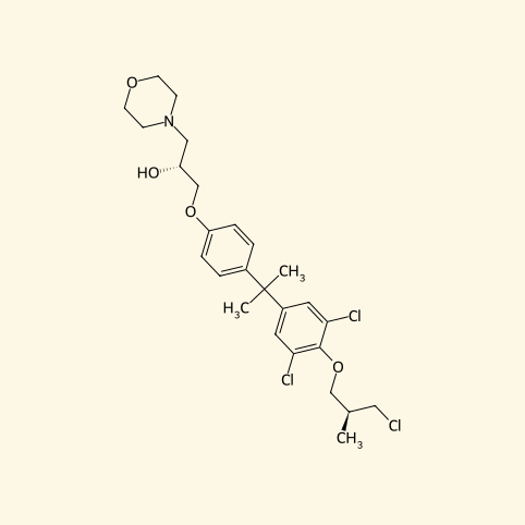 C[C@H](CCl)COc1c(Cl)cc(C(C)(C)c2ccc(OC[C@H](O)CN3CCOCC3)cc2)cc1Cl